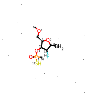 B[C@@H]1O[C@H](COC)C(OP(C)(=O)S)C1F